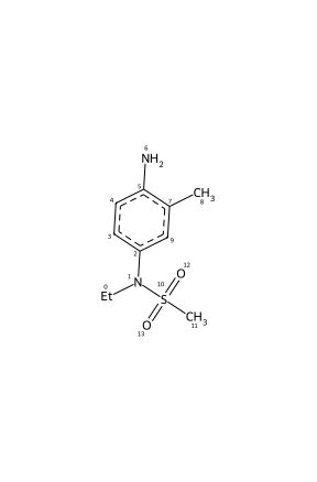 CCN(c1ccc(N)c(C)c1)S(C)(=O)=O